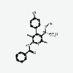 Cc1nc(NC(=O)c2ccccc2)c(C)c(-c2ccc(Cl)cc2)c1[C@H](OC(C)(C)C)C(=O)O